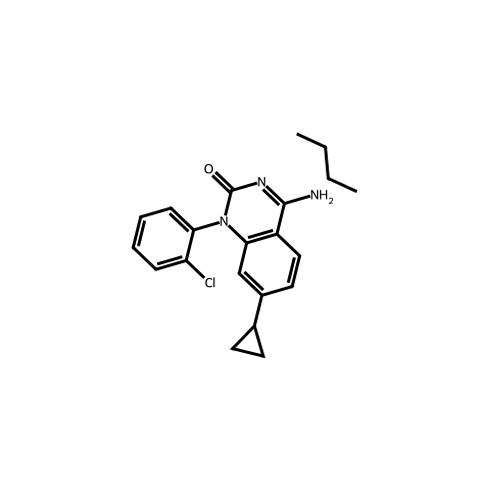 CCCC.Nc1nc(=O)n(-c2ccccc2Cl)c2cc(C3CC3)ccc12